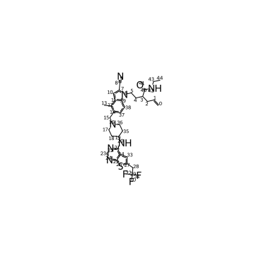 C=CCC(CCn1c(C#N)cc2c(C)c(CN3CCC(Nc4ncnc5sc(CC(F)(F)F)cc45)CC3)ccc21)C(=O)NCC